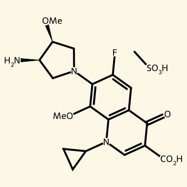 COc1c(N2C[C@@H](N)[C@@H](OC)C2)c(F)cc2c(=O)c(C(=O)O)cn(C3CC3)c12.CS(=O)(=O)O